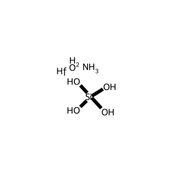 N.O.O[Si](O)(O)O.[Hf]